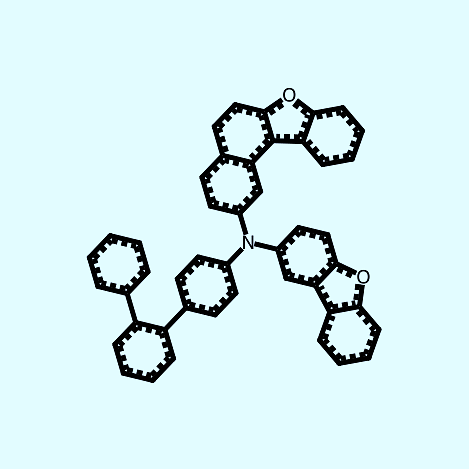 c1ccc(-c2ccccc2-c2ccc(N(c3ccc4oc5ccccc5c4c3)c3ccc4ccc5oc6ccccc6c5c4c3)cc2)cc1